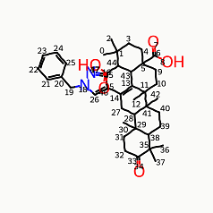 CC1(C)CCC2(C(=O)O)CCC3(C)C(=C(c4cnn(Cc5ccccc5)c4)CC4C5(C)CCC(=O)C(C)(C)C5CCC43C)C2C1C(=O)O